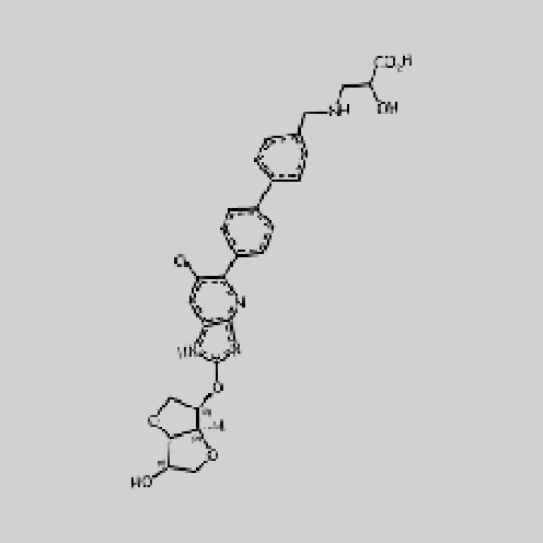 O=C(O)C(O)CNCc1ccc(-c2ccc(-c3nc4nc(O[C@@H]5COC6[C@H](O)CO[C@@H]65)[nH]c4cc3Cl)cc2)cc1